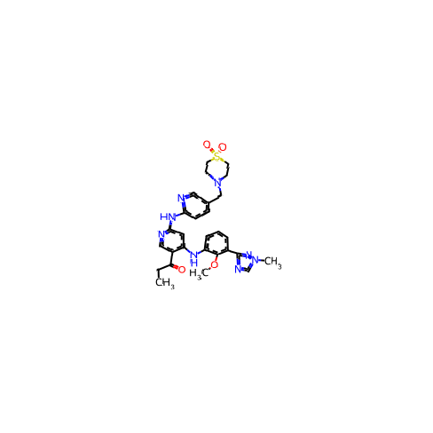 CCC(=O)c1cnc(Nc2ccc(CN3CCS(=O)(=O)CC3)cn2)cc1Nc1cccc(-c2ncn(C)n2)c1OC